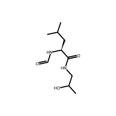 CC(C)C[C@H](NC=O)C(=O)NCC(C)O